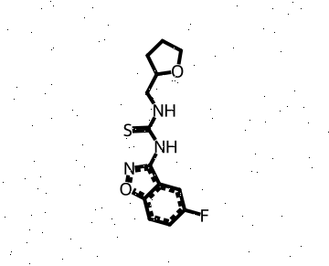 Fc1ccc2onc(NC(=S)NCC3CCCO3)c2c1